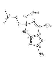 CCCCCSC1(CCN(C)C)N=C(N)c2sc(N)nc2N1